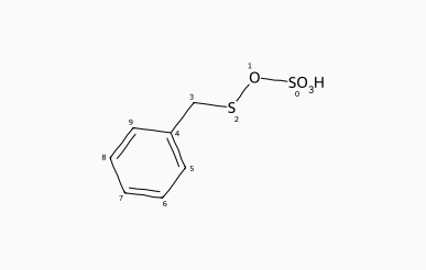 O=S(=O)(O)OSCc1ccccc1